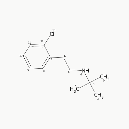 CC(C)(C)NCCc1ccccc1Cl